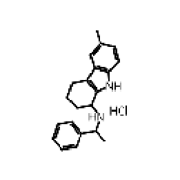 Cc1ccc2[nH]c3c(c2c1)CCCC3NC(C)c1ccccc1.Cl